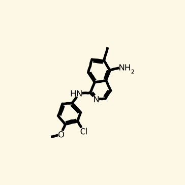 COc1ccc(Nc2nccc3c(N)c(C)ccc23)cc1Cl